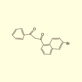 O=C(CC(=O)c1cccc2cc(Br)ccc12)c1ccccc1